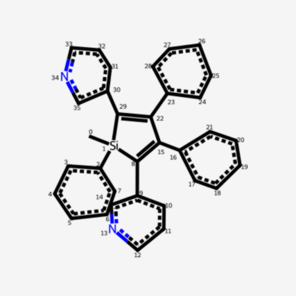 C[Si]1(c2ccccc2)C(c2cccnc2)=C(c2ccccc2)C(c2ccccc2)=C1c1cccnc1